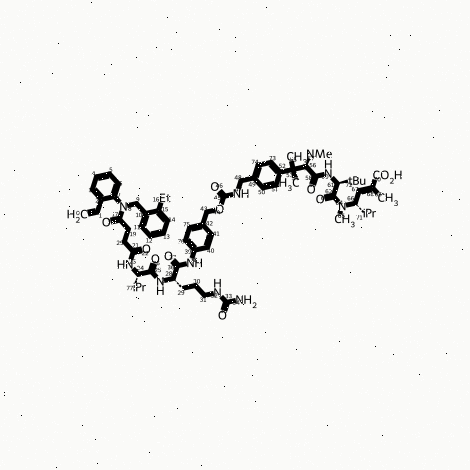 C=Cc1ccccc1N(Cc1ccccc1CC)C(=O)CCC(=O)N[C@H](C(=O)N[C@@H](CCCNC(N)=O)C(=O)Nc1ccc(COC(=O)NCc2ccc(C(C)(C)[C@@H](NC)C(=O)N[C@H](C(=O)N(C)[C@H](/C=C(\C)C(=O)O)C(C)C)C(C)(C)C)cc2)cc1)C(C)C